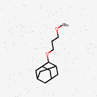 CC(C)(C)OCCCOC1C2CC3CC(C2)CC1C3